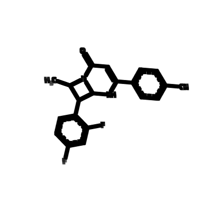 CC1C(c2ccc(F)cc2F)C2NC(c3ccc(C#N)cc3)=CC(=O)N12